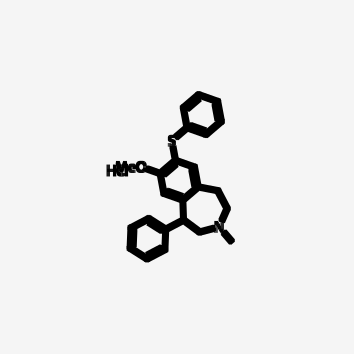 COc1cc2c(cc1Sc1ccccc1)CCN(C)CC2c1ccccc1.Cl